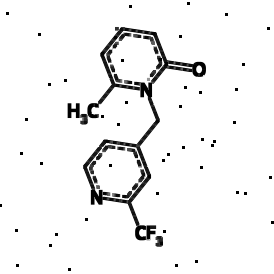 Cc1c[c]cc(=O)n1Cc1ccnc(C(F)(F)F)c1